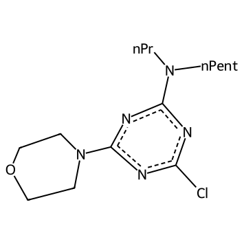 CCCCCN(CCC)c1nc(Cl)nc(N2CCOCC2)n1